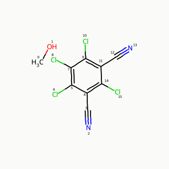 CO.N#Cc1c(Cl)c(Cl)c(Cl)c(C#N)c1Cl